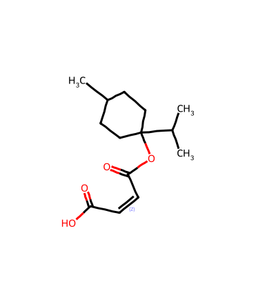 CC1CCC(OC(=O)/C=C\C(=O)O)(C(C)C)CC1